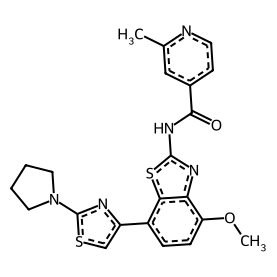 COc1ccc(-c2csc(N3CCCC3)n2)c2sc(NC(=O)c3ccnc(C)c3)nc12